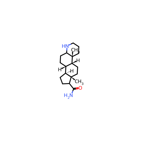 C[C@]12CCCNC1CC[C@@H]1[C@H]2CC[C@]2(C)C(C(N)=O)CC[C@@H]12